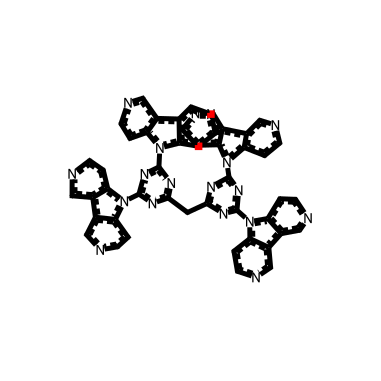 c1cc2c(cn1)c1cnccc1n2-c1nc(Cc2nc(-n3c4ccncc4c4cnccc43)nc(-n3c4ccncc4c4cnccc43)n2)nc(-n2c3ccncc3c3cnccc32)n1